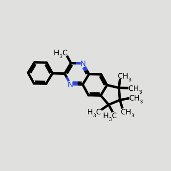 Cc1nc2cc3c(cc2nc1-c1ccccc1)C(C)(C)C(C)(C)C3(C)C